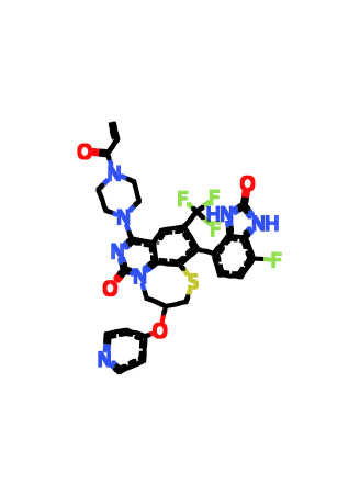 C=CC(=O)N1CCN(c2nc(=O)n3c4c(c(-c5ccc(F)c6[nH]c(=O)[nH]c56)c(C(F)(F)F)cc24)SCC(Oc2ccncc2)C3)CC1